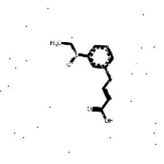 CC[S+]([O-])c1cccc(C/C=C/C(=O)O)c1